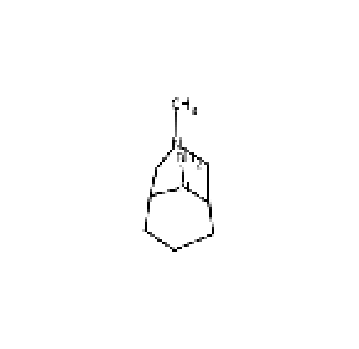 BN1C2CCCC1CN(C)C2